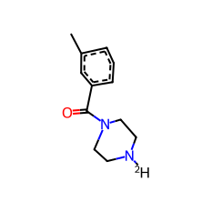 [2H]N1CCN(C(=O)c2cccc(C)c2)CC1